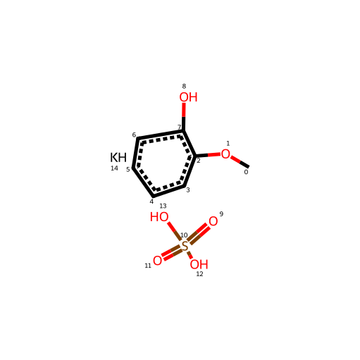 COc1ccccc1O.O=S(=O)(O)O.[KH]